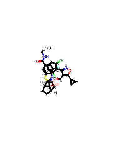 O=C(O)CNC(=O)c1cc(F)c2nc([C@]3(O)[C@@H]4CC[C@H]3C[C@H](OCc3c(-c5c(Cl)cccc5Cl)noc3C3CC3)C4)sc2c1